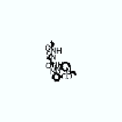 C=CC(=O)Nc1nc(C(=O)Nc2nc3cccc(Cl)c3n2[C@@H]2CCCCN(C(=O)C=C)C2)cs1